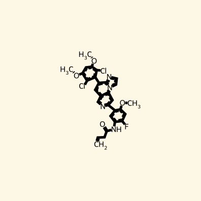 C=CCC(=O)Nc1cc(-c2cc3c(cn2)cc(-c2c(Cl)c(OC)cc(OC)c2Cl)c2nccn23)c(OC)cc1F